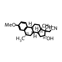 COc1ccc2c(c1)[C@@H](C)C[C@@H]1[C@@H]2CC[C@@]2(C)[C@H]1C[C@@H](O)[C@@]2(O)CC#N